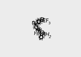 Nc1ccccc1NC(=O)c1nc2c(s1)CN(C(=O)c1ccc(OC(F)(F)F)cc1)CC2